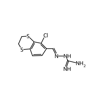 N=C(N)N/N=C/c1ccc2c(c1Cl)SCCS2